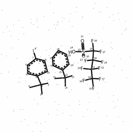 CC(C)(C)c1ccc(I)cc1.CC(C)(C)c1ccccc1.O=S(=O)(O)C(F)(F)C(F)(F)C(F)(F)C(F)(F)F